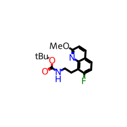 COc1ccc2ccc(F)c(CCNC(=O)OC(C)(C)C)c2n1